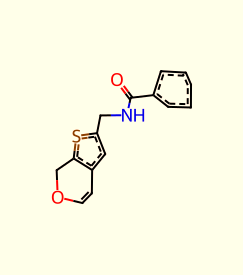 O=C(NCc1cc2c(s1)COC=C2)c1ccccc1